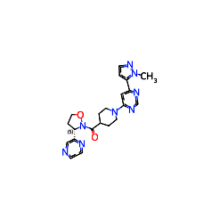 Cn1nccc1-c1cc(N2CCC(C(=O)N3OCC[C@H]3c3cnccn3)CC2)ncn1